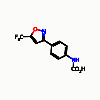 O=C(O)Nc1ccc(-c2cc(C(F)(F)F)on2)cc1